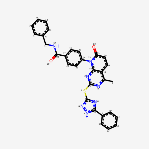 Cc1nc(Sc2n[nH]c(-c3ccccc3)n2)nc2c1ccc(=O)n2-c1ccc(C(=O)NCc2ccccc2)cc1